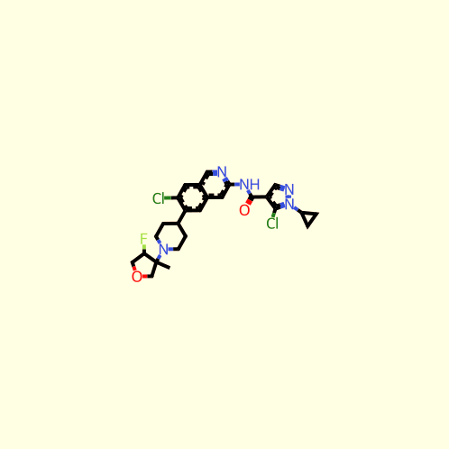 CC1(N2CCC(c3cc4cc(NC(=O)c5cnn(C6CC6)c5Cl)ncc4cc3Cl)CC2)COCC1F